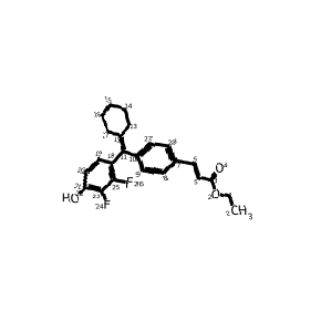 CCOC(=O)C=Cc1ccc(C(=C2CCCCC2)c2ccc(O)c(F)c2F)cc1